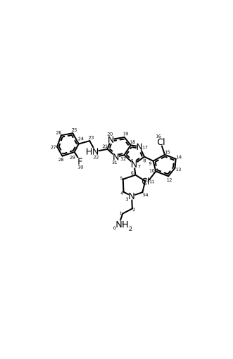 NCCN1CCC(n2c(-c3c(Cl)cccc3Cl)nc3cnc(NCc4ccccc4F)nc32)CC1